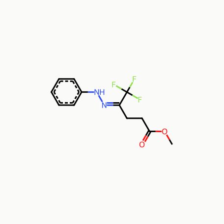 COC(=O)CCC(=NNc1ccccc1)C(F)(F)F